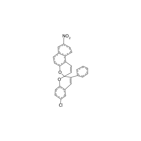 O=[N+]([O-])c1ccc2c3c(ccc2c1)OC1(C=C3)Oc2ccc(Cl)cc2C=C1c1ccccc1